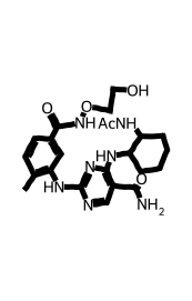 CC(=O)NC1CCCCC1Nc1nc(Nc2cc(C(=O)NOCCO)ccc2C)ncc1C(N)=O